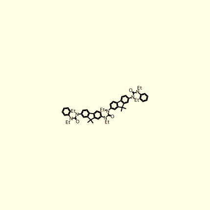 CCN(C(=O)N(CC)c1ccc2c(c1)C(C)(C)c1cc(N(CC)C(=O)N(CC)c3ccc4c(c3)C(C)(C)c3cc(N(CC)C(=O)N(CC)c5ccccc5)ccc3-4)ccc1-2)c1ccccc1